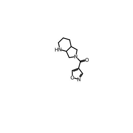 O=C(c1cnoc1)N1CC2CCCNC2C1